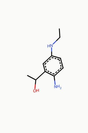 CCNc1ccc(N)c(C(C)O)c1